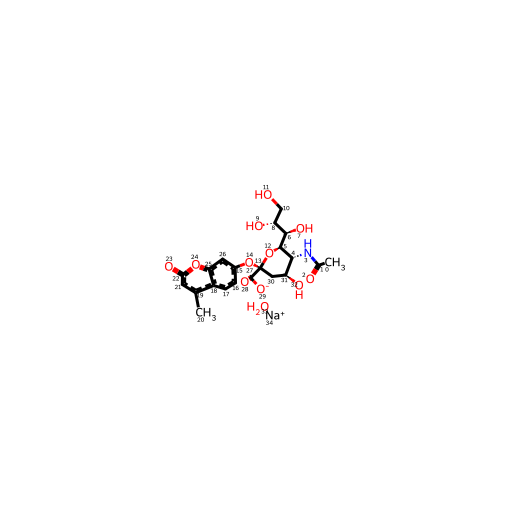 CC(=O)N[C@H]1[C@H]([C@H](O)[C@H](O)CO)O[C@@](Oc2ccc3c(C)cc(=O)oc3c2)(C(=O)[O-])C[C@@H]1O.O.[Na+]